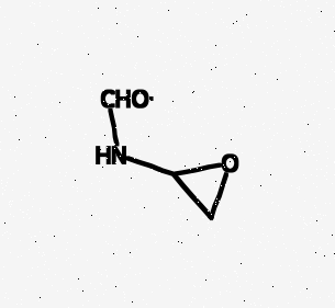 O=[C]NC1CO1